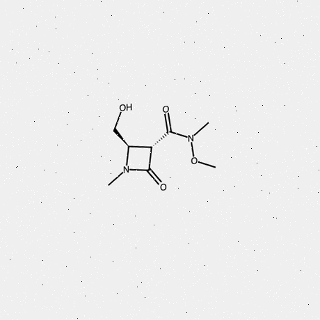 CON(C)C(=O)[C@@H]1C(=O)N(C)[C@H]1CO